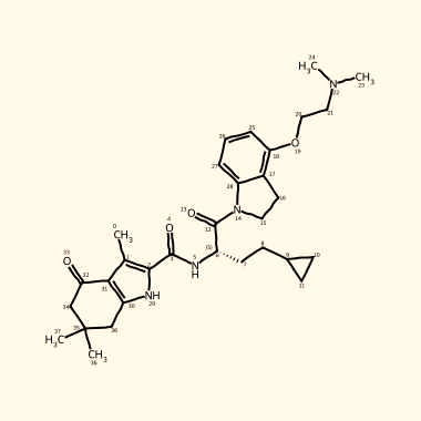 Cc1c(C(=O)N[C@@H](CCC2CC2)C(=O)N2CCc3c(OCCN(C)C)cccc32)[nH]c2c1C(=O)CC(C)(C)C2